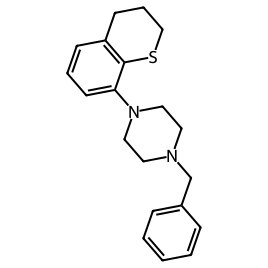 c1ccc(CN2CCN(c3cccc4c3SCCC4)CC2)cc1